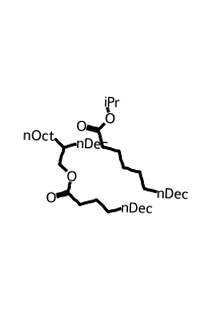 CCCCCCCCCCCCCC(=O)OCC(CCCCCCCC)CCCCCCCCCC.CCCCCCCCCCCCCCCC(=O)OC(C)C